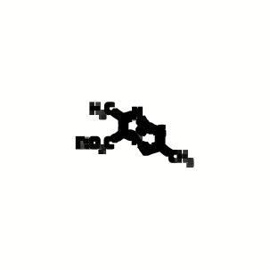 CCOC(=O)c1c(C)nc2sc(C)cn12